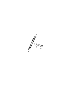 O=[Si]=O.[Ag].[W]